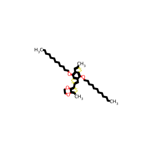 CCCCCCCCCCCCOc1c2cc(-c3sc(C)c4c3OCCO4)sc2c(OCCCCCCCCCCCC)c2cc(C)sc12